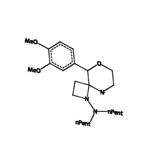 CCCCCN(CCCCC)N1CCC12[N]CCOC2c1ccc(OC)c(OC)c1